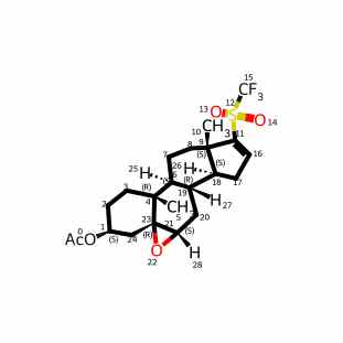 CC(=O)O[C@H]1CC[C@]2(C)[C@H]3CC[C@]4(C)C(S(=O)(=O)C(F)(F)F)=CC[C@H]4[C@@H]3C[C@@H]3O[C@@]32C1